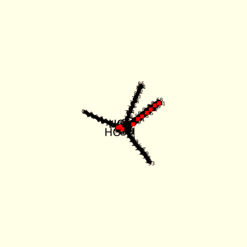 CCCCCCCCCCCCCCCCO[C@@](CCCCCCCCCCCCCCCC)(C(=O)CCCCCCCCCCCCCCCC)[C@@](CCCCCCCCCCCCCCCC)(OCCCCCCCCCCCCCCCC)[C@H](O)[C@H](O)CO